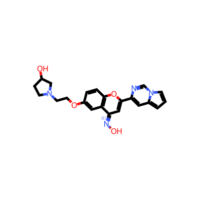 O/N=c1\cc(-c2cc3cccn3cn2)oc2ccc(OCCN3CCC(O)C3)cc12